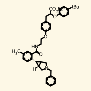 CCOC(=O)[C@H](Cc1ccc(OCCNC(=O)c2cc(C)ccc2[C@@H]2C3CN(Cc4ccccc4)C[C@@H]32)cc1)Oc1ccc(C(C)(C)C)cc1